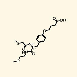 COCCNC(=O)[C@H](Cc1ccc(OCCCC(=O)O)cc1)NC(=O)CSC